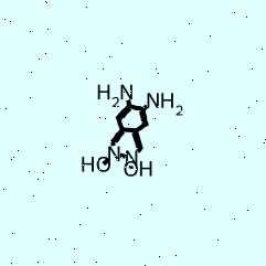 Nc1cc2c(cc1N)=CN(O)N(O)C=2